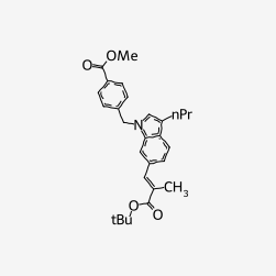 CCCc1cn(Cc2ccc(C(=O)OC)cc2)c2cc(/C=C(\C)C(=O)OC(C)(C)C)ccc12